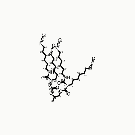 CC(COC(=O)N(CCCCCCN=C=O)C(=O)NCCCCCCN=C=O)OC(=O)ON(CCCCCCN=C=O)C(=O)NCCCCCCN=C=O